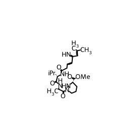 COC(=O)[C@@H]1CCCN(C(=O)[C@H](C)NC(=O)[C@@H](NC(=O)C/C=C/C(=N)C=C(C)C)C(C)C)N1